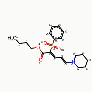 CCCCOC(=O)C(=CC=CN1CCCCC1)S(=O)(=O)c1ccccc1